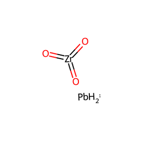 [O]=[Zr](=[O])=[O].[PbH2]